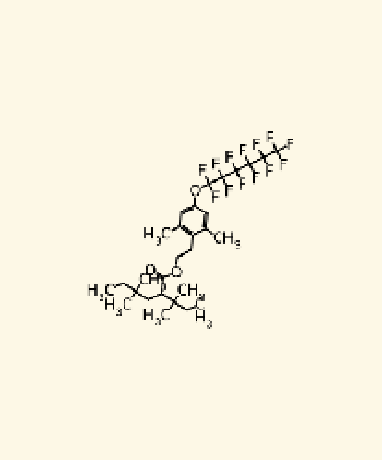 CCC(C)(C)CC(C(=O)OCCc1c(C)cc(OC(F)(F)C(F)(F)C(F)(F)C(F)(F)C(F)(F)C(F)(F)F)cc1C)C(C)(C)CC